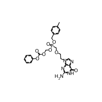 Cc1ccc(COP(=O)(COCCn2cnc3c(=O)[nH]c(N)nc32)OCOC(=O)Oc2ccccc2)cc1